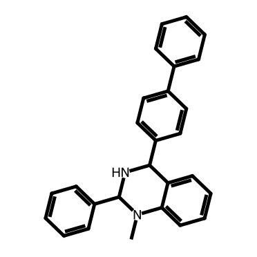 CN1c2ccccc2C(c2ccc(-c3ccccc3)cc2)NC1c1ccccc1